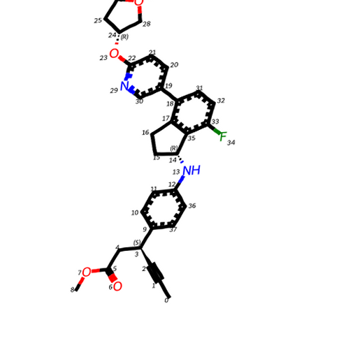 CC#C[C@@H](CC(=O)OC)c1ccc(N[C@@H]2CCc3c(-c4ccc(O[C@@H]5CCOC5)nc4)ccc(F)c32)cc1